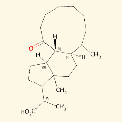 CC1CCCCCCC(=O)[C@@H]2[C@@H]1CCC1(C)C([C@H](C)C(=O)O)CC[C@@H]21